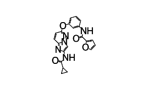 O=C(Nc1cccc(Oc2ccc3nc(NC(=O)C4CC4)cn3n2)c1)c1ccco1